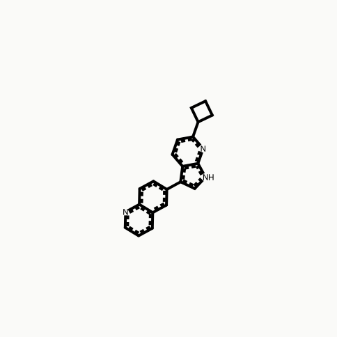 c1cnc2ccc(-c3c[nH]c4nc(C5CCC5)ccc34)cc2c1